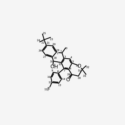 CC(C)c1cc2c(c(-c3ccc(F)cc3)c1C(O)c1ccc(C(C)(C)C)cc1)C(=O)CC(C)(C)O2